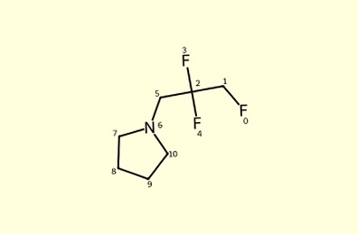 FCC(F)(F)CN1CCCC1